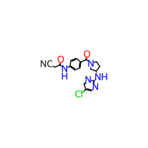 N#CCC(=O)Nc1ccc(C(=O)N2CC[C@H](Nc3ncc(Cl)cn3)C2)cc1